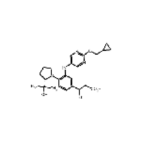 CCC(CC(=O)O)c1ccc(N2CCC[C@H]2C(C)(C)O)c(Nc2cnc(OCC3CC3)nc2)c1